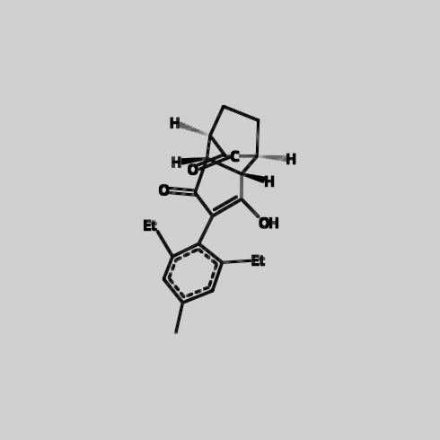 CCc1cc(C)cc(CC)c1C1=C(O)[C@H]2[C@@H]3CC[C@@H](C(=O)C3)[C@H]2C1=O